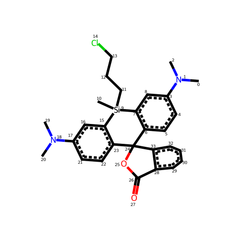 CN(C)c1ccc2c(c1)[Si](C)(CCCCl)c1cc(N(C)C)ccc1C21OC(=O)c2ccccc21